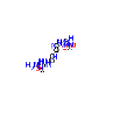 CON[C@H](C(=O)N1CCC[C@H]1C1Nc2c(cnc3cc(-c4ccc5c(ccc6nc(C(CCCN)C[C@@H](NOC)C(C)C)[nH]c65)n4)ccc23)N1C)C(C)C